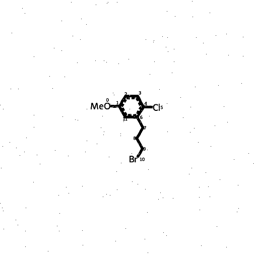 COc1ccc(Cl)c(CCCBr)c1